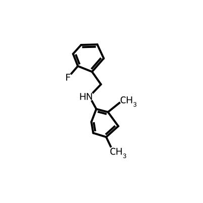 Cc1ccc(NCc2ccccc2F)c(C)c1